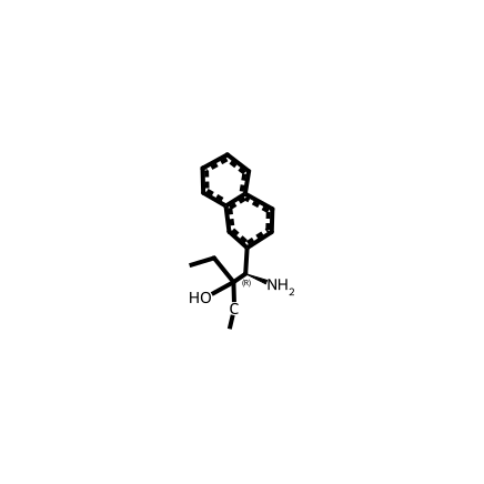 CCC(O)(CC)[C@H](N)c1ccc2ccccc2c1